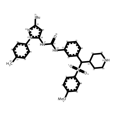 COc1ccc(S(=O)(=O)C(c2cccc(NC(=O)Nc3cc(C(C)(C)C)nn3-c3ccc(C)cc3)c2)C2CCNCC2)cc1